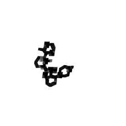 Cc1nccnc1[C@@H]1CCC[C@H](c2nc3cccc(N4CCN(C)CC4)c3[nH]2)N1C